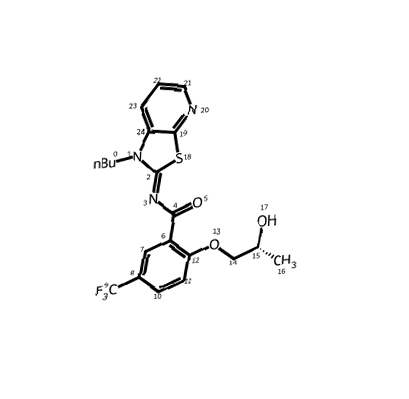 CCCCn1/c(=N/C(=O)c2cc(C(F)(F)F)ccc2OC[C@@H](C)O)sc2ncccc21